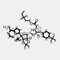 CCC(C)(C)CCOC(=O)[C@H](C)NP(=O)(OC[C@H]1O[C@@](C#N)(c2ccc3c(N)ncnn23)[C@@H]2OC(C)(C)O[C@@H]21)Oc1ccc(C(C)(C)C)cc1